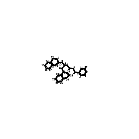 c1ccc(CCCC[C](Cc2ccc3ccccc3c2)Cc2cccc3ccccc23)cc1